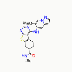 COc1cn2nccc2cc1Nc1ncnc2sc3c(c12)CC[C@H](C(=O)NC(C)(C)C)C3